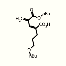 C=C(C=C(CCCOCCCC)C(=O)O)C(=O)OCCCC